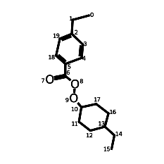 CCc1ccc(C(=O)OO[C]2CCC(CC)CC2)cc1